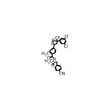 Cc1cc(C2=NOC(c3cc(Cl)cc(Cl)c3)(C(F)(F)F)C2)ccc1C(=O)N=S(C)(=O)Cc1ccc(C#N)cc1